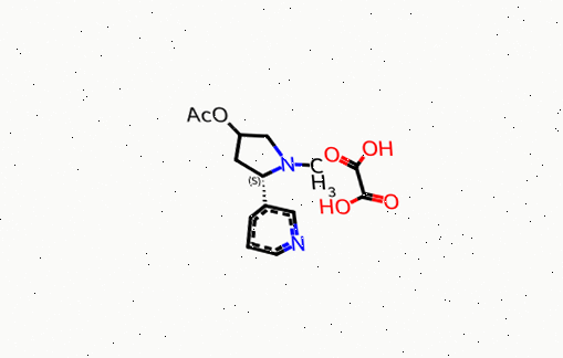 CC(=O)OC1C[C@@H](c2cccnc2)N(C)C1.O=C(O)C(=O)O